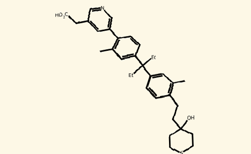 CCC(CC)(c1ccc(CCC2(O)CCSCC2)c(C)c1)c1ccc(-c2cncc(CC(=O)O)c2)c(C)c1